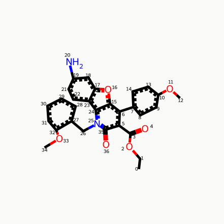 CCOC(=O)c1c(-c2ccc(OC)cc2)c2oc3cc(N)ccc3c2n(Cc2ccccc2OC)c1=O